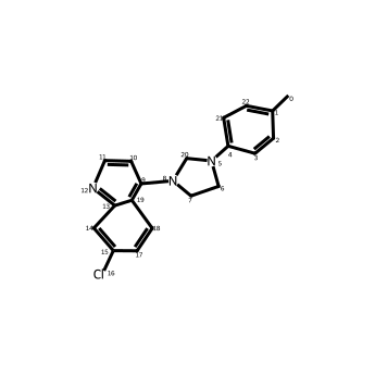 Cc1ccc(N2CCN(c3ccnc4cc(Cl)ccc34)C2)cc1